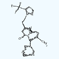 Cc1sc2nc(Cn3nccc3C(F)(F)F)cc(=O)n2c1-c1cncnc1